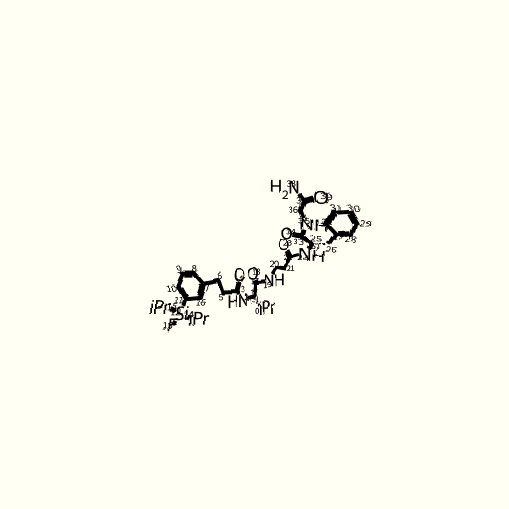 CC(C)[C@H](NC(=O)CCc1cccc([Si](F)(C(C)C)C(C)C)c1)C(=O)NCCC(=O)N[C@@H](Cc1ccccc1)C(=O)NCC(N)=O